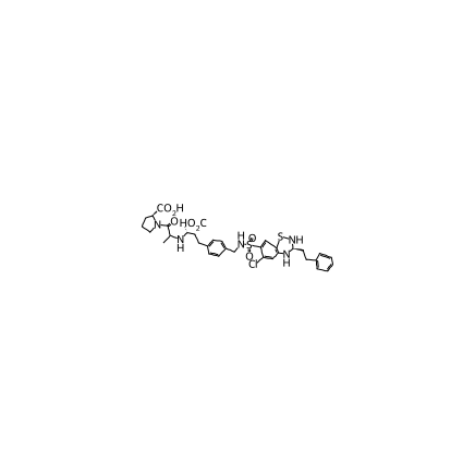 CC(N[C@@H](CCc1ccc(CNS(=O)(=O)c2cc3c(cc2Cl)N[C@H](CCc2ccccc2)NS3)cc1)C(=O)O)C(=O)N1CCC[C@H]1C(=O)O